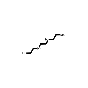 NCCNC=CNCCO